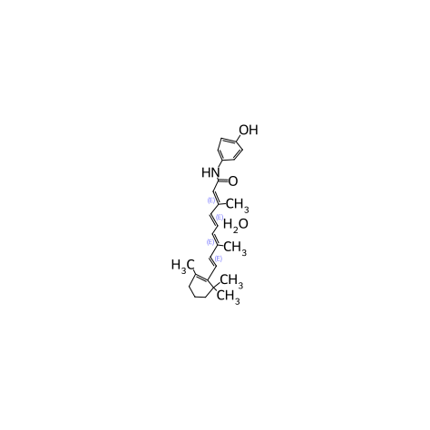 CC1=C(/C=C/C(C)=C/C=C/C(C)=C/C(=O)Nc2ccc(O)cc2)C(C)(C)CCC1.O